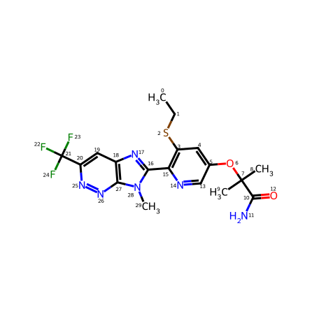 CCSc1cc(OC(C)(C)C(N)=O)cnc1-c1nc2cc(C(F)(F)F)nnc2n1C